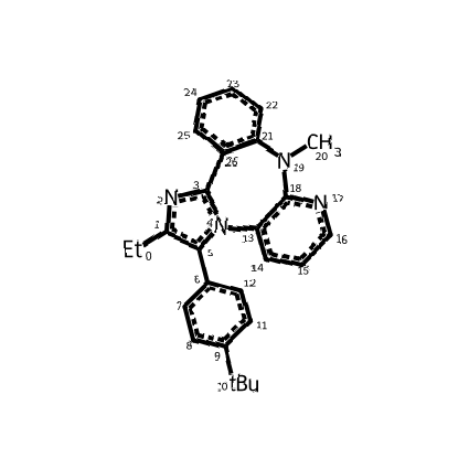 CCc1nc2n(c1-c1ccc(C(C)(C)C)cc1)-c1cccnc1N(C)c1ccccc1-2